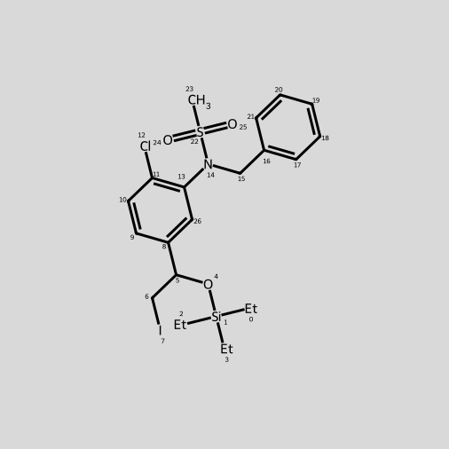 CC[Si](CC)(CC)OC(CI)c1ccc(Cl)c(N(Cc2ccccc2)S(C)(=O)=O)c1